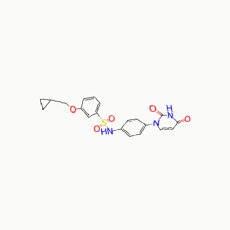 O=c1ccn(-c2ccc(NS(=O)(=O)c3cccc(OCC4CC4)c3)cc2)c(=O)[nH]1